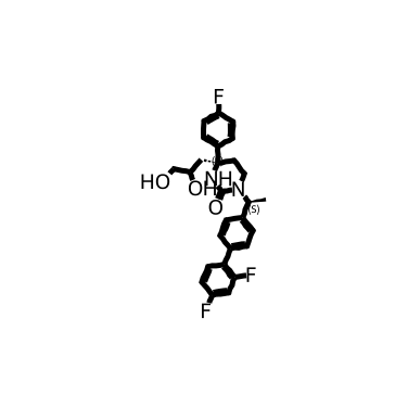 C[C@@H](c1ccc(-c2ccc(F)cc2F)cc1)N1CC[C@](CC(O)CO)(c2ccc(F)cc2)NC1=O